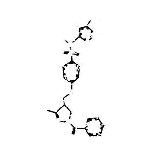 CC1=NN(C(=O)c2ccccc2)CC1CNc1ccc(S(=O)(=O)N(C)c2cc(C)on2)cc1